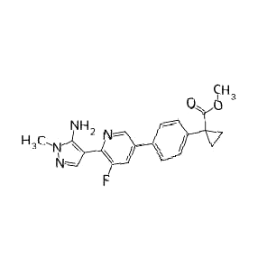 COC(=O)C1(c2ccc(-c3cnc(-c4cnn(C)c4N)c(F)c3)cc2)CC1